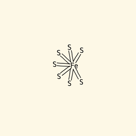 [S]=[Fe](=[S])(=[S])(=[S])(=[S])(=[S])=[S]